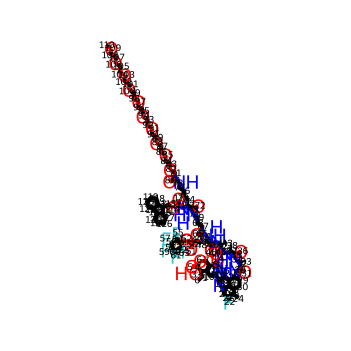 CC[C@@]1(O)C(=O)OCc2c1cc1n(c2=O)Cc2c-1nc1cc(F)c(C)c3c1c2[C@@H](NC(=O)[C@H](C)NC(=O)[C@H](C)NC(=O)[C@H](C)NC(=O)[C@H](CCC(=O)Oc1c(F)c(F)c(F)c(F)c1F)NC(=O)CCCNC(=O)[C@H](CCCCNC(=O)COCCOCCOCCOCCOCCOCCOCCOCCOCCOC)NC(=O)OCC1c2ccccc2-c2ccccc21)CC3